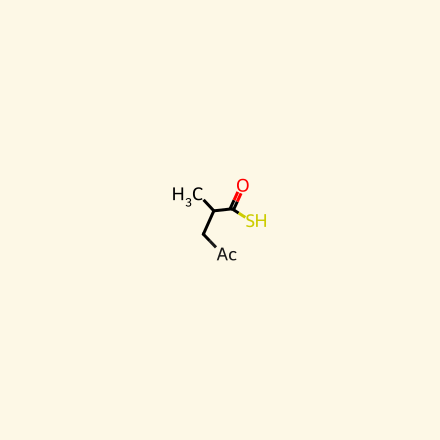 CC(=O)CC(C)C(=O)S